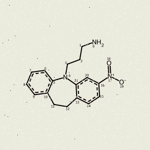 NCCCN1c2ccccc2CCc2ccc([N+](=O)[O-])cc21